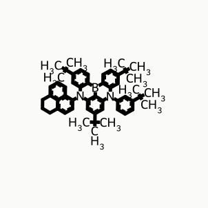 CC(C)(C)c1cccc(N2c3cc(C(C)(C)C)ccc3B3c4ccc(C(C)(C)C)cc4N(c4ccc5c6c(cccc46)CCC5)c4cc(C(C)(C)C)cc2c43)c1